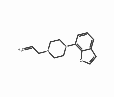 C=CCN1CCN(c2cccc3ccoc23)CC1